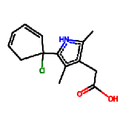 Cc1[nH]c(C2(Cl)C=CC=CC2)c(C)c1CC(=O)O